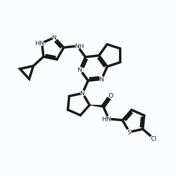 O=C(Nc1ccc(Cl)s1)[C@H]1CCCN1c1nc2c(c(Nc3cc(C4CC4)[nH]n3)n1)CCC2